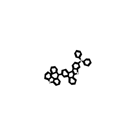 c1ccc(C(c2ccc3c(c2)c2ccccc2c2oc4cc(N(c5ccccc5)c5ccccc5)ccc4c32)c2cccc3sc4ccccc4c23)cc1